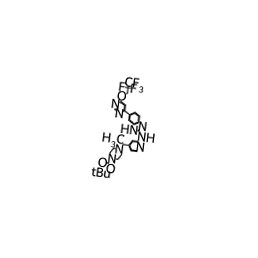 CC(c1ccnc(Nc2nc3ccc(-c4cc(OCC(F)(F)C(F)(F)F)ncn4)cc3[nH]2)c1)N1CCN(C(=O)OC(C)(C)C)CC1